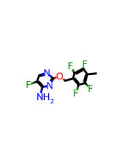 Cc1c(F)c(F)c(COc2ncc(F)c(N)n2)c(F)c1F